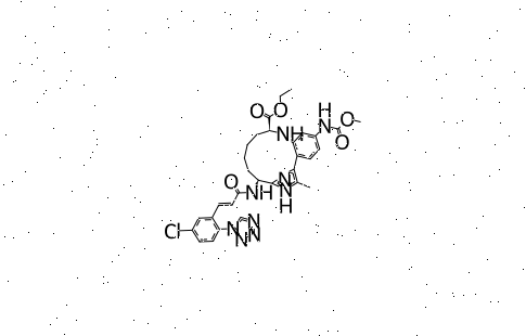 CCOC(=O)[C@@H]1CCCC[C@H](NC(=O)C=Cc2cc(Cl)ccc2-n2cnnn2)c2nc(c(C)[nH]2)-c2ccc(NC(=O)OC)cc2N1